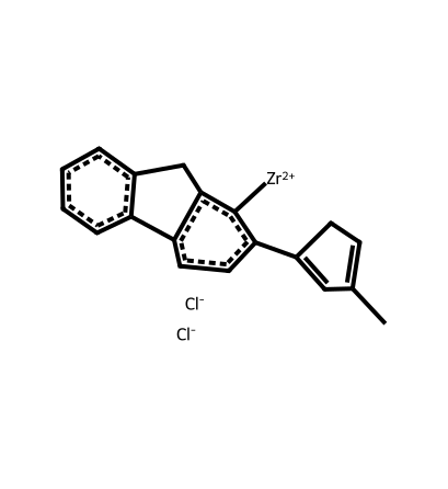 CC1=CCC(c2ccc3c([c]2[Zr+2])Cc2ccccc2-3)=C1.[Cl-].[Cl-]